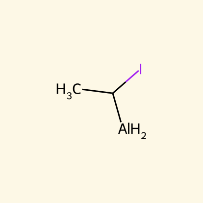 C[CH]([AlH2])I